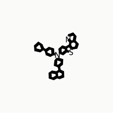 c1ccc(-c2ccc(N(c3ccc(-c4cccc5ccccc45)cc3)c3ccc4c(c3)sc3ccc5cccnc5c34)cc2)cc1